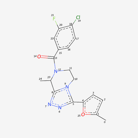 Cc1ccc(-c2nnc3n2CCN(C(=O)c2ccc(Cl)c(F)c2)C3C)o1